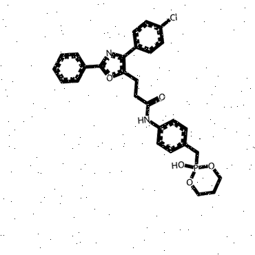 O=C(CCc1oc(-c2ccccc2)nc1-c1ccc(Cl)cc1)Nc1ccc(C[P]2(O)OCCCO2)cc1